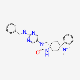 CN(Cc1ccccc1)c1ncc(N2C[C@]3(CC[C@@](c4ccccc4)(N(C)C)CC3)NC2=O)cn1